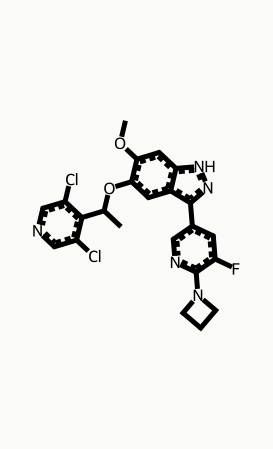 COc1cc2[nH]nc(-c3cnc(N4CCC4)c(F)c3)c2cc1OC(C)c1c(Cl)cncc1Cl